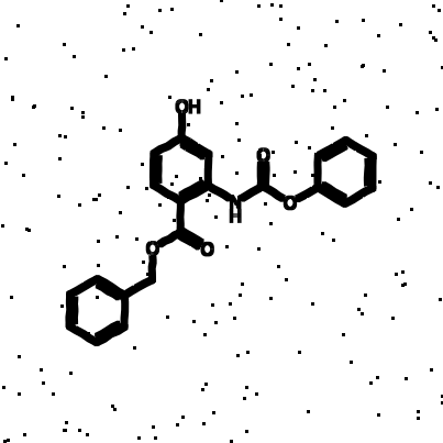 O=C(Nc1cc(O)ccc1C(=O)OCc1ccccc1)Oc1ccccc1